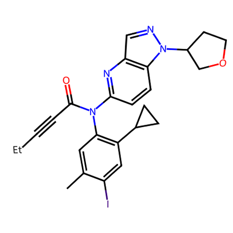 CCC#CC(=O)N(c1ccc2c(cnn2C2CCOC2)n1)c1cc(C)c(I)cc1C1CC1